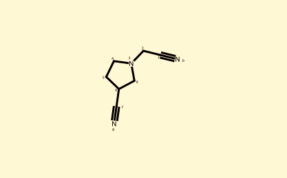 N#CCN1CCC(C#N)C1